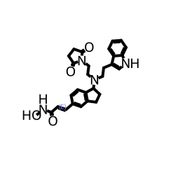 O=C(/C=C/c1ccc2c(c1)CCC2N(CCc1c[nH]c2ccccc12)CCN1C(=O)CCC1=O)NO